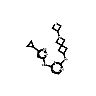 c1cc(Nc2cc(C3CC3)[nH]n2)nc(NC2CC3(C2)CN(C2COC2)C3)n1